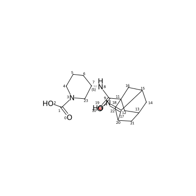 O=C(O)N1CCC[C@H](NC(=O)C23CC4CC(C2)C(=NO)C(C4)C3)C1